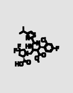 COC(=O)C1=C(CN2CC(F)(F)C[C@H]2C(=O)O)NC(c2nc(C(C)C)cs2)=N[C@H]1c1ccc(F)cc1Cl